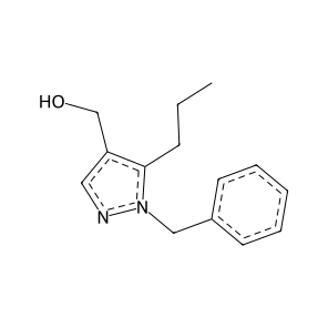 CCCc1c(CO)cnn1Cc1ccccc1